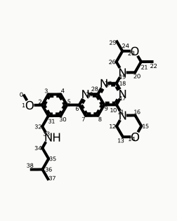 COc1ccc(-c2ccc3c(N4CCOCC4)nc(N4CC(C)OC(C)C4)nc3n2)cc1CNCCC(C)C